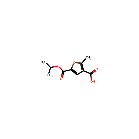 Cc1sc(C(=O)OC(C)C)cc1C(=O)O